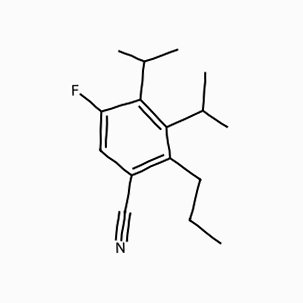 CCCc1c(C#N)cc(F)c(C(C)C)c1C(C)C